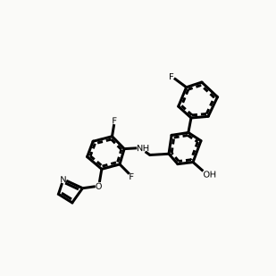 Oc1cc(CNc2c(F)ccc(OC3=NC=C3)c2F)cc(-c2cccc(F)c2)c1